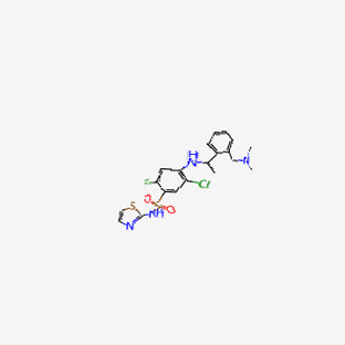 CC(Nc1cc(F)c(S(=O)(=O)Nc2nccs2)cc1Cl)c1ccccc1CN(C)C